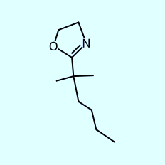 CCCCC(C)(C)C1=NCCO1